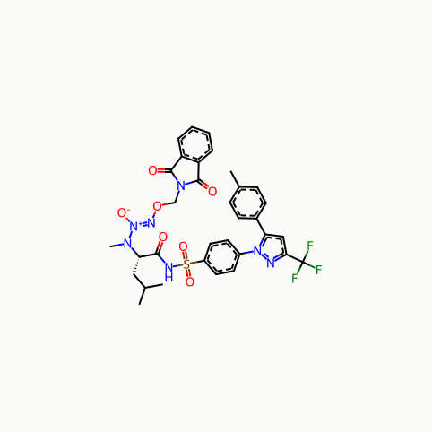 Cc1ccc(-c2cc(C(F)(F)F)nn2-c2ccc(S(=O)(=O)NC(=O)[C@H](CC(C)C)N(C)[N+]([O-])=NOCN3C(=O)c4ccccc4C3=O)cc2)cc1